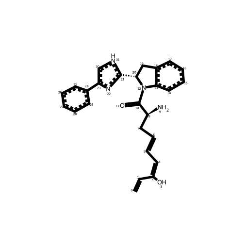 C=C/C(O)=C\C=C\C[C@H](N)C(=O)N1c2ccccc2C[C@H]1c1nc(-c2ccccc2)c[nH]1